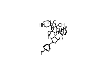 CC(C)(C)N(C(=O)OC1C(Oc2ccncn2)CC(c2ccc(F)cc2)C1F)C1CCCNC1